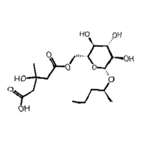 CCC[C@H](C)O[C@@H]1O[C@H](COC(=O)CC(C)(O)CC(=O)O)[C@@H](O)[C@H](O)[C@H]1O